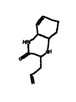 C=CCC1NC2CCC=CC2NC1=O